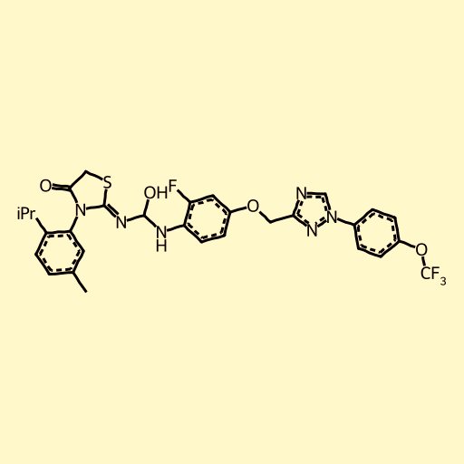 Cc1ccc(C(C)C)c(N2C(=O)CS/C2=N\C(O)Nc2ccc(OCc3ncn(-c4ccc(OC(F)(F)F)cc4)n3)cc2F)c1